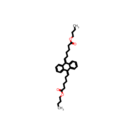 CCCCOC(=O)CCCCC=c1c2ccccc2c(=CCCCCC(=O)OCCCC)c2ccccc12